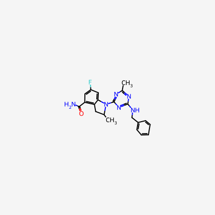 Cc1nc(NCc2ccccc2)nc(N2c3cc(F)cc(C(N)=O)c3CC2C)n1